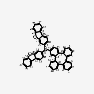 c1ccc2c(c1)-c1ccccc1-c1ccc(N(c3ccc4c(c3)oc3ccccc34)c3ccc4c(c3)oc3ccccc34)cc1-c1ccccc1-2